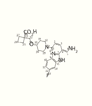 C=C(/C=C\C(=C/N)c1nc2ccc(F)cc2[nH]1)N1CCC(OCC2(C(=O)O)CCC2)CC1